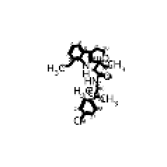 CCc1cccc2c3c([nH]c12)C(CC)(CC(=O)NC[Si](C)(C)c1ccc(Cl)cc1)OCC3